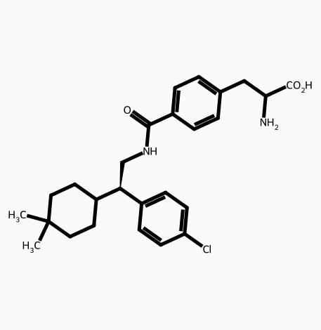 CC1(C)CCC([C@@H](CNC(=O)c2ccc(CC(N)C(=O)O)cc2)c2ccc(Cl)cc2)CC1